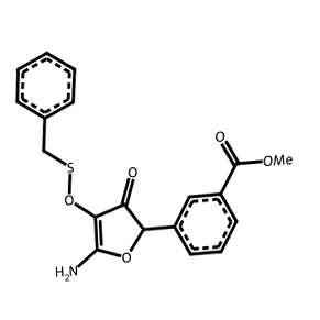 COC(=O)c1cccc(C2OC(N)=C(OSCc3ccccc3)C2=O)c1